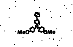 COc1ccc(N(c2ccc(OC)cc2)c2ccc(-c3cccs3)cc2)cc1